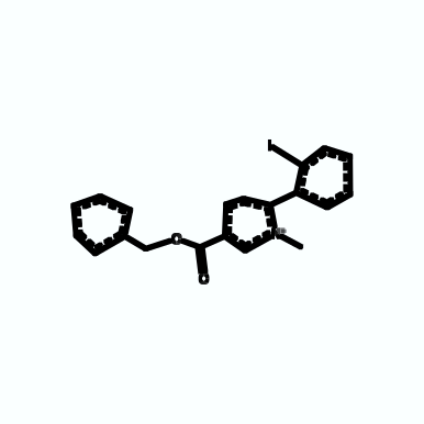 C[n+]1cc(C(=O)OCc2ccccc2)ccc1-c1ccccc1I